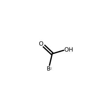 [B]C(=O)O